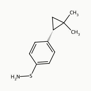 CC1(C)C[C@H]1c1ccc(SN)cc1